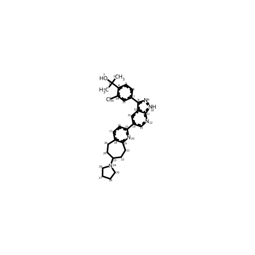 CC(C)(O)c1ccc(-c2n[nH]c3ncc(-c4ccc5c(n4)CCC(N4CCCC4)CC5)cc23)cc1Cl